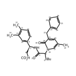 CCCCC(C(=O)N[C@@H](CC(=O)O)c1ccc(C)c(C)c1)n1cc(C)cc(Cc2ccccc2)c1=O